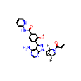 C=CC(=O)N1C[C@@H]2C[C@H]1[C@@H](n1nc(-c3ccc(C(=O)Nc4ccccn4)cc3OC)c3c(N)ncnc31)C2